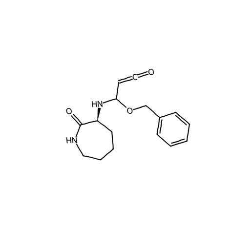 O=C=CC(N[C@H]1CCCCNC1=O)OCc1ccccc1